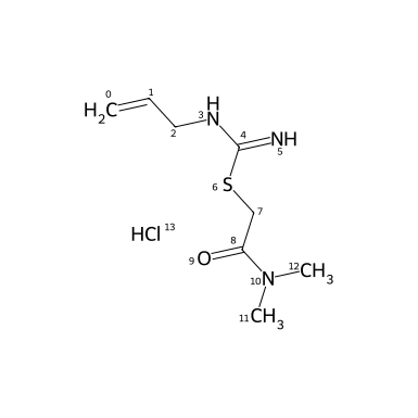 C=CCNC(=N)SCC(=O)N(C)C.Cl